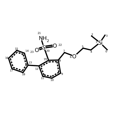 C[Si](C)(C)CCOCc1cccc(-c2ccccc2)c1S(N)(=O)=O